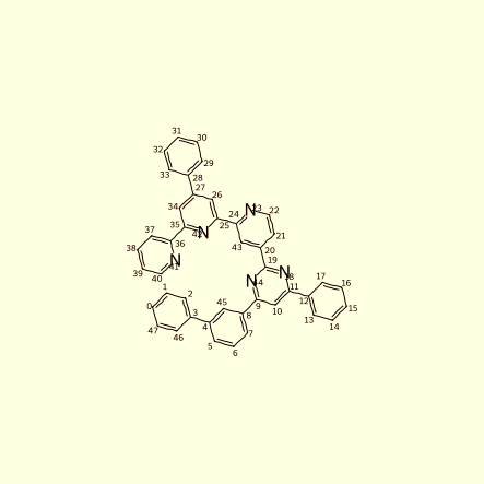 c1ccc(-c2cccc(-c3cc(-c4ccccc4)nc(-c4ccnc(-c5cc(-c6ccccc6)cc(-c6ccccn6)n5)c4)n3)c2)cc1